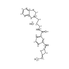 CO[C@H]1C[C@@H](Nc2cc(C(=O)NC[C@H](O)CN3CCc4ccccc4C3)ncn2)C1